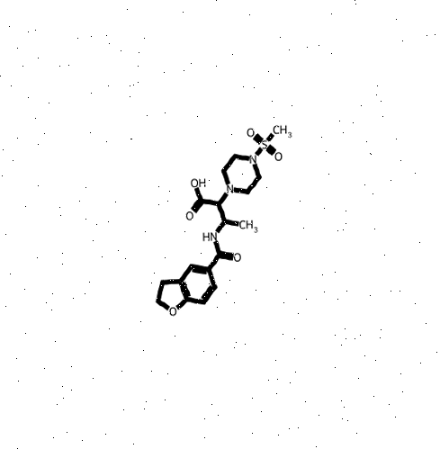 CC(NC(=O)c1ccc2c(c1)CCO2)C(C(=O)O)N1CCN(S(C)(=O)=O)CC1